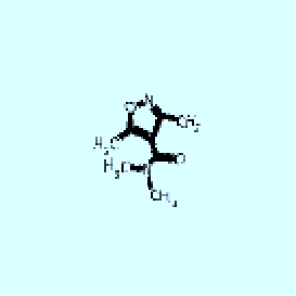 Cc1noc(C)c1C(=O)N(C)C